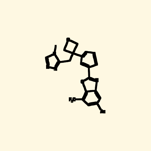 CC(=O)c1cc(C(F)(F)F)c2oc(-c3cccc(C4(Cc5nncn5C)COC4)c3)nc2c1